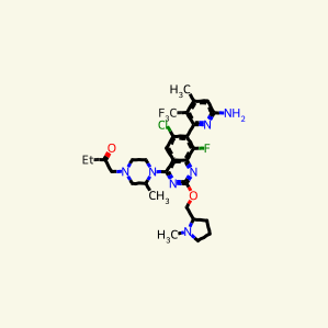 CCC(=O)CN1CCN(c2nc(OCC3CCCN3C)nc3c(F)c(-c4nc(N)cc(C)c4C(F)(F)F)c(Cl)cc23)C(C)C1